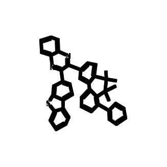 CC1(C)c2ccc(-c3nc4ccccc4nc3-c3ccc4c(c3)sc3ccccc34)cc2-c2cccc(-c3ccccc3)c2C1(C)C